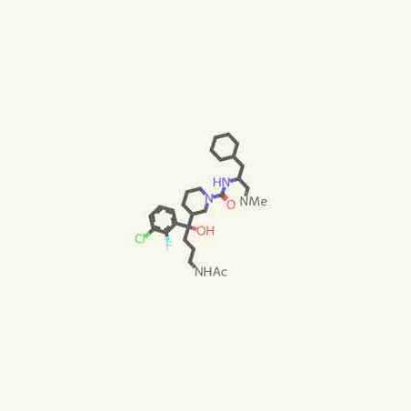 CNCC(CC1CCCCC1)NC(=O)N1CCCC(C(O)(CCCNC(C)=O)c2cccc(Cl)c2F)C1